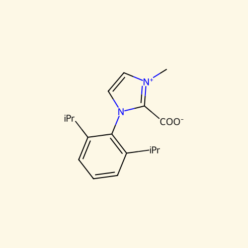 CC(C)c1cccc(C(C)C)c1-n1cc[n+](C)c1C(=O)[O-]